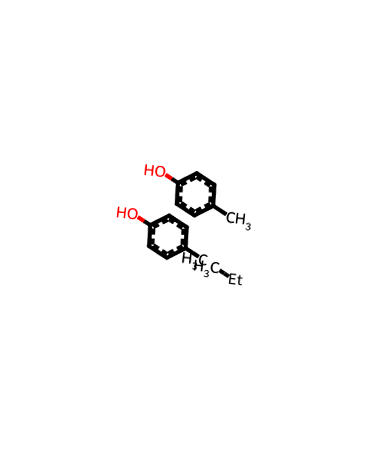 CCC.Cc1ccc(O)cc1.Cc1ccc(O)cc1